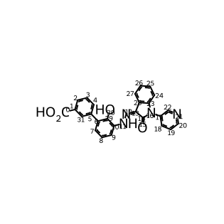 O=C(O)c1cccc(-c2cccc(NN=C3C(=O)N(c4cccnc4)c4ccccc43)c2O)c1